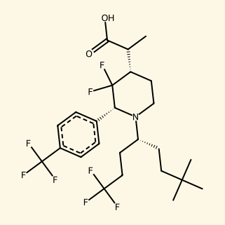 CC(C(=O)O)[C@@H]1CCN([C@H](CCC(C)(C)C)CCC(F)(F)F)[C@H](c2ccc(C(F)(F)F)cc2)C1(F)F